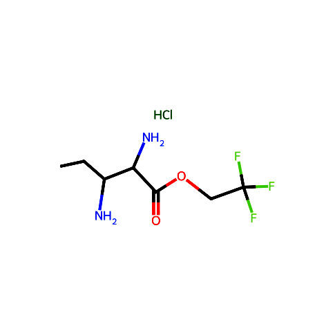 CCC(N)C(N)C(=O)OCC(F)(F)F.Cl